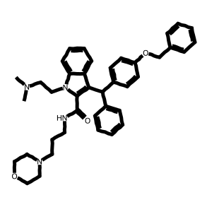 CN(C)CCn1c(C(=O)NCCCN2CCOCC2)c(C(c2ccccc2)c2ccc(OCc3ccccc3)cc2)c2ccccc21